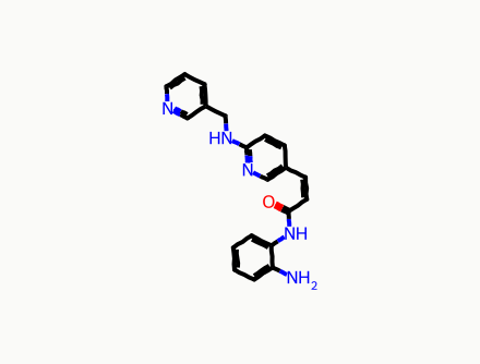 Nc1ccccc1NC(=O)/C=C\c1ccc(NCc2cccnc2)nc1